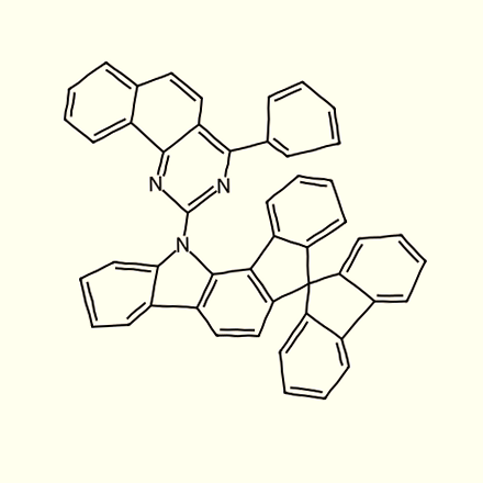 c1ccc(-c2nc(-n3c4ccccc4c4ccc5c(c43)-c3ccccc3C53c4ccccc4-c4ccccc43)nc3c2ccc2ccccc23)cc1